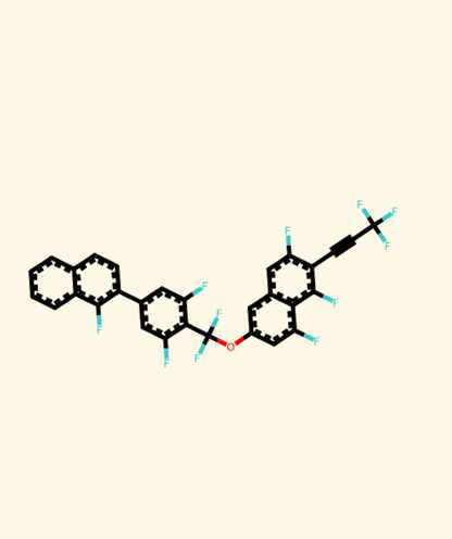 Fc1cc2cc(OC(F)(F)c3c(F)cc(-c4ccc5ccccc5c4F)cc3F)cc(F)c2c(F)c1C#CC(F)(F)F